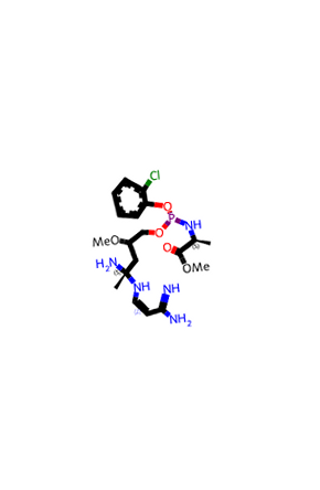 COC(=O)[C@H](C)NP(OCC(C[C@@](C)(N)N/C=C\C(=N)N)OC)Oc1ccccc1Cl